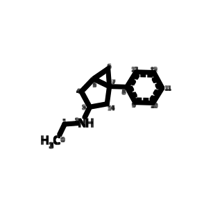 CCNC1CC2CC2(c2ccccc2)C1